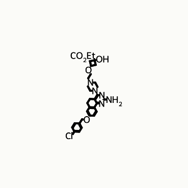 CCOC(=O)[C@]1(O)C[C@@H](OCCN2CCN(c3nc(N)nc4c3CCc3cc(OCc5ccc(Cl)cc5)ccc3-4)CC2)C1